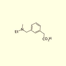 CCN(C)Cc1cccc(CC(=O)O)c1